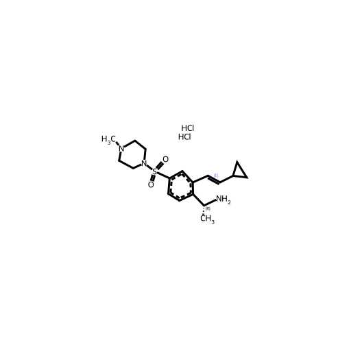 C[C@@H](N)c1ccc(S(=O)(=O)N2CCN(C)CC2)cc1/C=C/C1CC1.Cl.Cl